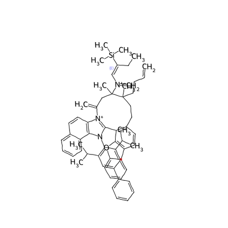 C=CCCC1(C)CCc2ccc3c(oc4ccccc43)c2-c2n(-c3c(C(C)C)cc(-c4ccccc4)cc3C(C)C)c3c4ccccc4ccc3[n+]2C(=C)CC1(C)[N+](=C)/C=C(\CC)[Si](C)(C)C